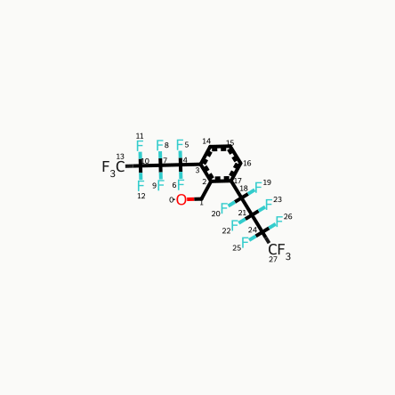 [O]Cc1c(C(F)(F)C(F)(F)C(F)(F)C(F)(F)F)cccc1C(F)(F)C(F)(F)C(F)(F)C(F)(F)F